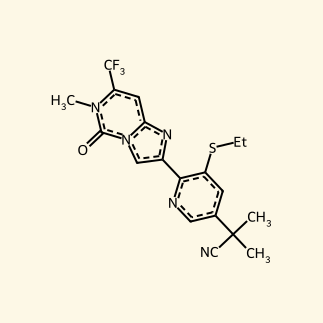 CCSc1cc(C(C)(C)C#N)cnc1-c1cn2c(=O)n(C)c(C(F)(F)F)cc2n1